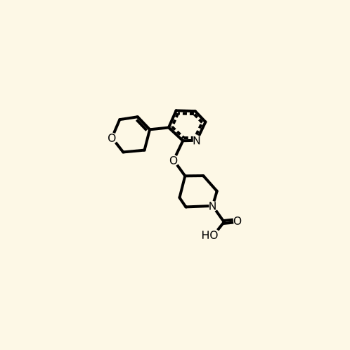 O=C(O)N1CCC(Oc2ncccc2C2=CCOCC2)CC1